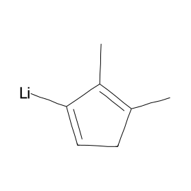 [Li][C]1=CCC(C)=C1C